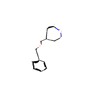 c1ccc(COCC2CC[N]CC2)cc1